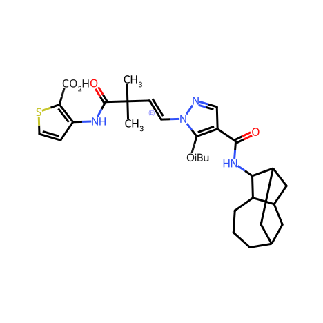 CC(C)COc1c(C(=O)NC2C3CC4CCCC2C(C4)C3)cnn1/C=C/C(C)(C)C(=O)Nc1ccsc1C(=O)O